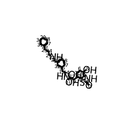 O=c1[nH]c2c(O)ccc(CC(O)(O)NCCc3cccc(CNCCCc4ccccc4)c3)c2s1